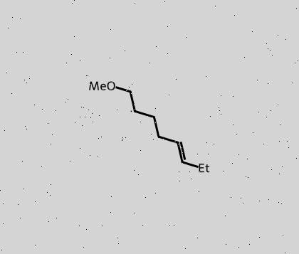 CCC=CCC[CH]COC